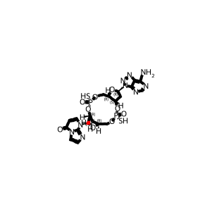 Nc1ncnc2c1nnn2[C@H]1C[C@@H]2OP(=O)(S)OC[C@H]3O[C@@H](n4ccc(=O)n5ccnc45)[C@H](OP(=O)(S)OC[C@H]2O1)[C@@H]3O